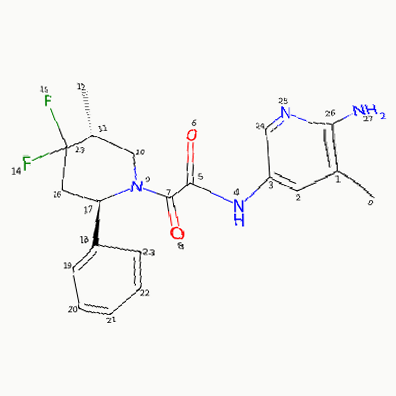 Cc1cc(NC(=O)C(=O)N2C[C@@H](C)C(F)(F)C[C@@H]2c2ccccc2)cnc1N